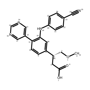 COC[C@H](CC(=O)O)c1ccc(-c2cncnc2)c(Nc2ccc(C#N)cc2)c1